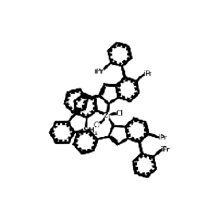 CC(C)c1ccccc1-c1c(C(C)C)ccc2c1C=C(c1ccccc1)[CH]2[Zr]([Cl])([Cl])([c]1cccc2c1[SiH2]c1ccccc1-2)[CH]1C(c2ccccc2)=Cc2c1ccc(C(C)C)c2-c1ccccc1C(C)C